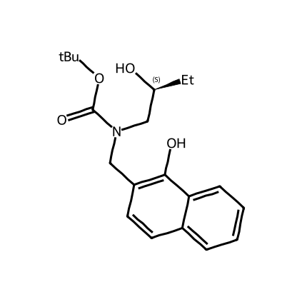 CC[C@H](O)CN(Cc1ccc2ccccc2c1O)C(=O)OC(C)(C)C